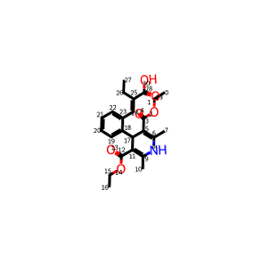 CCOC(=O)C1=C(C)NC(C)=C(C(=O)OCC)C1c1ccccc1/C=C(\CC)C(=O)O